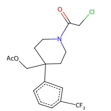 CC(=O)OCC1(c2cccc(C(F)(F)F)c2)CCN(C(=O)CCl)CC1